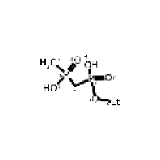 CCOP(=O)(O)CP(C)(=O)O